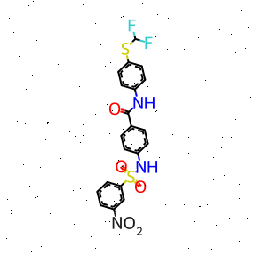 O=C(Nc1ccc(SC(F)F)cc1)c1ccc(NS(=O)(=O)c2cccc([N+](=O)[O-])c2)cc1